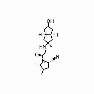 CC1C[C@@H](C#N)N(C(=O)CN[C@]2(C)C[C@H]3C[C@@H](O)C[C@H]3C2)[C@H]1C